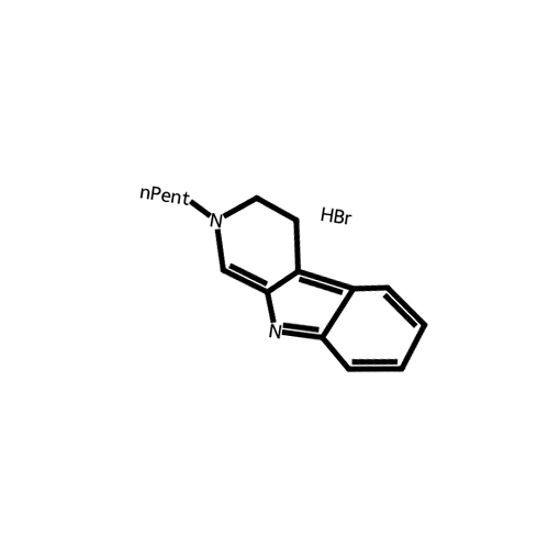 Br.CCCCCN1C=C2N=c3ccccc3=C2CC1